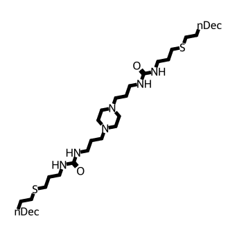 CCCCCCCCCCCCSCCCNC(=O)NCCCN1CCN(CCCNC(=O)NCCCSCCCCCCCCCCCC)CC1